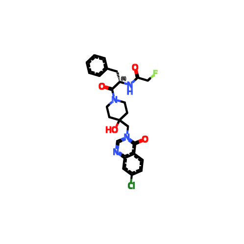 O=C(CF)N[C@@H](Cc1ccccc1)C(=O)N1CCC(O)(Cn2cnc3cc(Cl)ccc3c2=O)CC1